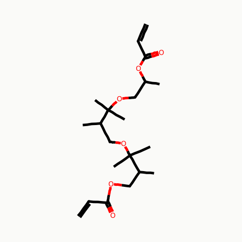 C=CC(=O)OCC(C)C(C)(C)OCC(C)C(C)(C)OCC(C)OC(=O)C=C